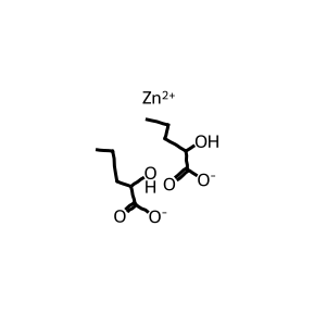 CCCC(O)C(=O)[O-].CCCC(O)C(=O)[O-].[Zn+2]